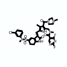 Cc1c(/C=C2\C(=O)NC3=C2C=C(S(=O)(=O)N(C)c2cccc(Cl)c2)CC3)[nH]c(CN(C)C(=O)c2cnc(F)nc2F)c1C(=O)N1CCN(C)CC1